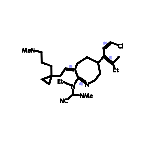 CC/C(C)=C(/C=C\Cl)C1CC/N=C(N(CC)C(C#N)NC)\C(=C/CC2(CCCNC)CC2)CC1